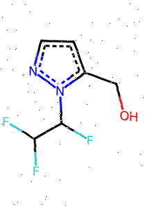 OCc1ccnn1C(F)C(F)F